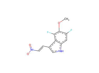 COc1c(F)cc2[nH]cc(/C=C/[N+](=O)[O-])c2c1F